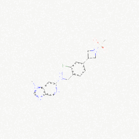 Cn1cnc2cnc(NCc3ccc(C4CN(S(C)(=O)=O)C4)cc3F)cc21